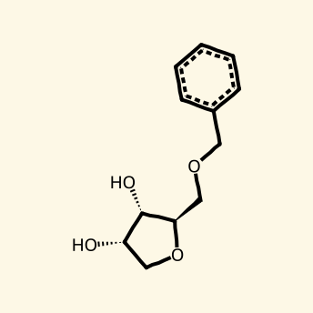 O[C@H]1[C@@H](O)CO[C@@H]1COCc1ccccc1